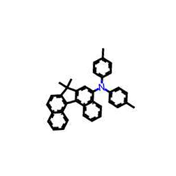 Cc1ccc(N(c2ccc(C)cc2)c2cc3c(c4ccccc24)-c2c(ccc4ccccc24)C3(C)C)cc1